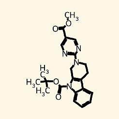 COC(=O)c1cnc(N2CCc3c(n(C(=O)OC(C)(C)C)c4ccccc34)C2)nc1